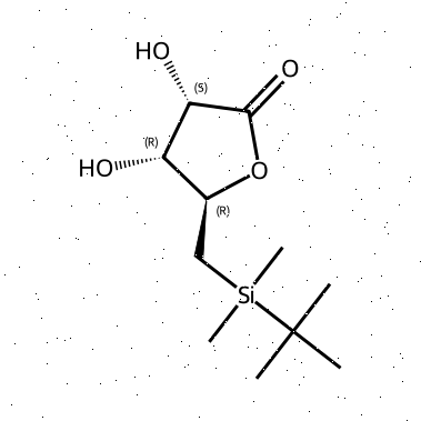 CC(C)(C)[Si](C)(C)C[C@@H]1OC(=O)[C@@H](O)[C@H]1O